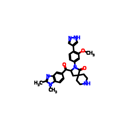 COc1cc(N2C(=O)C3(CCNCC3)CC2C(=O)c2ccc3c(c2)nc(C)n3C)ccc1-c1cn[nH]c1